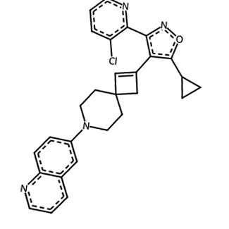 Clc1cccnc1-c1noc(C2CC2)c1C1=CC2(CCN(c3ccc4ncccc4c3)CC2)C1